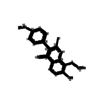 COCc1c(O)ccc2c(=O)c(-c3ccc(OC)cc3)c(C)oc12